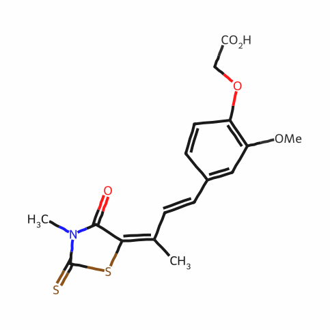 COc1cc(/C=C/C(C)=C2/SC(=S)N(C)C2=O)ccc1OCC(=O)O